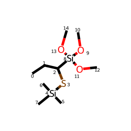 CCC(S[Si](C)(C)C)[Si](OC)(OC)OC